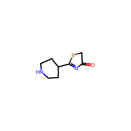 O=C1CSC(C2CCNCC2)=N1